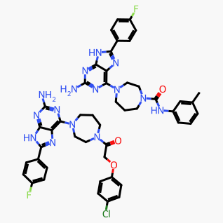 Cc1cccc(NC(=O)N2CCCN(c3nc(N)nc4[nH]c(-c5ccc(F)cc5)nc34)CC2)c1.Nc1nc(N2CCCN(C(=O)COc3ccc(Cl)cc3)CC2)c2nc(-c3ccc(F)cc3)[nH]c2n1